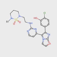 CCN1CCCN(CCNc2nccc(-c3c(-c4ccc(Cl)c(O)c4)nc4occn34)n2)S1(=O)=O